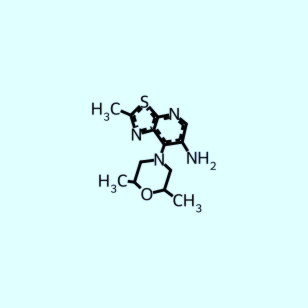 Cc1nc2c(N3CC(C)OC(C)C3)c(N)cnc2s1